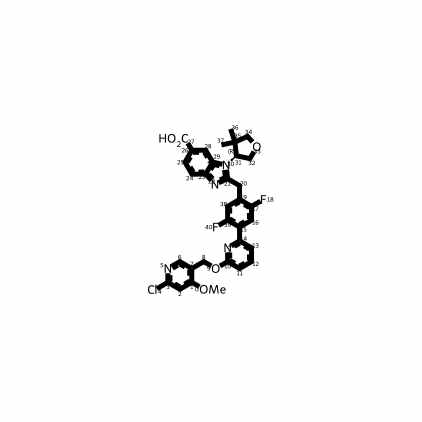 COc1cc(Cl)ncc1COc1cccc(-c2cc(F)c(Cc3nc4ccc(C(=O)O)cc4n3[C@H]3COCC3(C)C)cc2F)n1